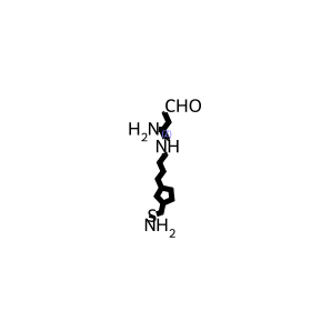 NSCC1CCC(CCCCN/C=C(\N)CCC=O)C1